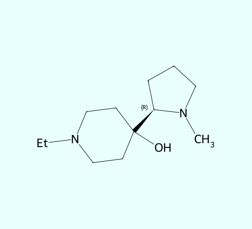 CCN1CCC(O)([C@H]2CCCN2C)CC1